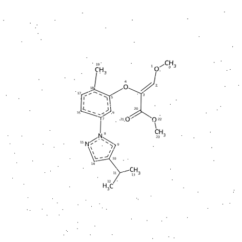 CO/C=C(\Oc1cc(-n2cc(C(C)C)cn2)ccc1C)C(=O)OC